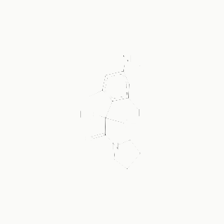 CC(C)(C(=O)N1CCCC1)c1c(F)cc(N)cc1F